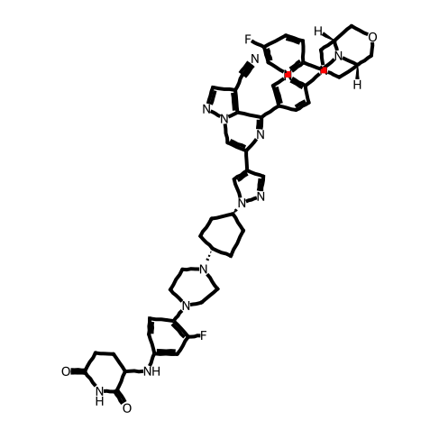 N#Cc1cnn2cc(-c3cnn([C@H]4CC[C@@H](N5CCN(c6ccc(NC7CCC(=O)NC7=O)cc6F)CC5)CC4)c3)nc(-c3ccc(N4C[C@H]5COC[C@@H](C4)N5Cc4ccc(F)cn4)nc3)c12